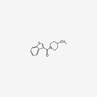 CC1CCN(C(=O)c2csc3ccccc23)CC1